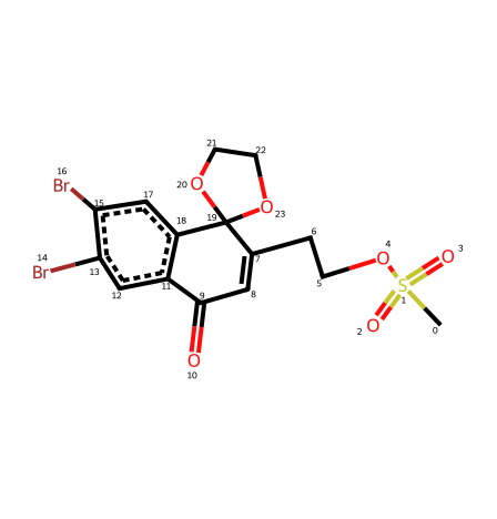 CS(=O)(=O)OCCC1=CC(=O)c2cc(Br)c(Br)cc2C12OCCO2